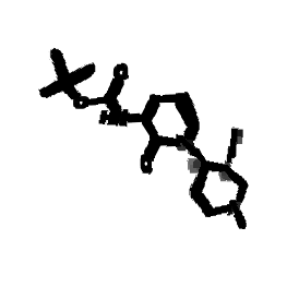 CN1CC[C@@H](n2cccc(NC(=O)OC(C)(C)C)c2=O)[C@H](F)C1